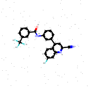 N#Cc1cc(-c2cccc(NC(=O)c3cccc(C(F)(F)F)c3)c2)c2ccc(F)cc2n1